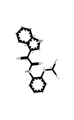 O=C(Nc1ccccc1OC(F)F)C(=O)c1c[nH]c2ccccc12